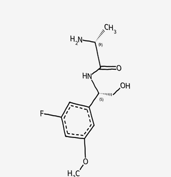 COc1cc(F)cc([C@@H](CO)NC(=O)[C@@H](C)N)c1